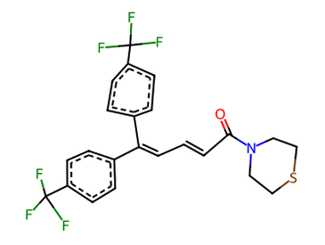 O=C(C=CC=C(c1ccc(C(F)(F)F)cc1)c1ccc(C(F)(F)F)cc1)N1CCSCC1